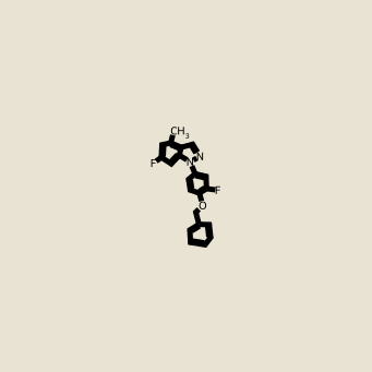 Cc1cc(F)cc2c1cnn2-c1ccc(OCc2ccccc2)c(F)c1